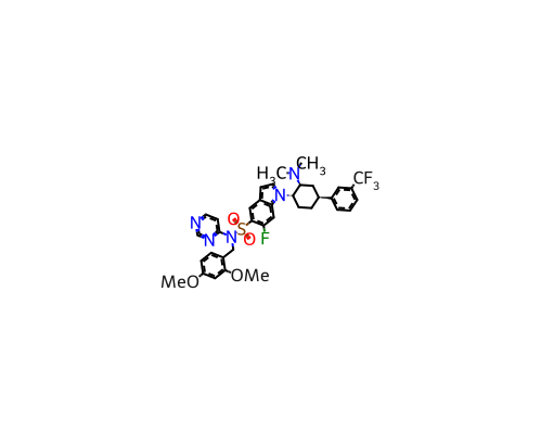 COc1ccc(CN(c2ccncn2)S(=O)(=O)c2cc3ccn([C@H]4CC[C@H](c5cccc(C(F)(F)F)c5)C[C@@H]4N(C)C)c3cc2F)c(OC)c1